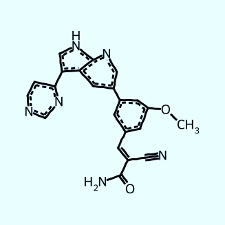 COc1cc(/C=C(\C#N)C(N)=O)cc(-c2cnc3[nH]cc(-c4ccncn4)c3c2)c1